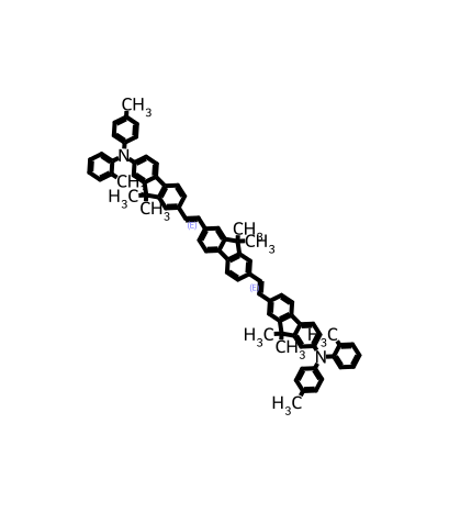 Cc1ccc(N(c2ccc3c(c2)C(C)(C)c2cc(/C=C/c4ccc5c(c4)C(C)(C)c4cc(/C=C/c6ccc7c(c6)C(C)(C)c6cc(N(c8ccc(C)cc8)c8ccccc8C)ccc6-7)ccc4-5)ccc2-3)c2ccccc2C)cc1